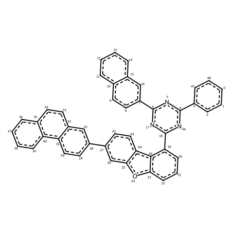 c1ccc(-c2nc(-c3ccc4ccccc4c3)nc(-c3cccc4oc5cc(-c6ccc7c(ccc8ccccc87)c6)ccc5c34)n2)cc1